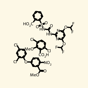 COC(=O)c1cc(Oc2ccc(Cl)cc2Cl)ccc1[N+](=O)[O-].COc1c(Cl)ccc(Cl)c1C(=O)O.O=C(Nc1nc(OC(F)F)cc(OC(F)F)n1)NS(=O)(=O)c1ccccc1C(=O)O